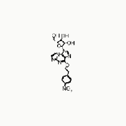 O=[N+]([O-])c1ccc(CCOc2nc3nccn3c3c2ncn3[C@@H]2O[C@H](CO)[C@@H](O)[C@H]2O)cc1